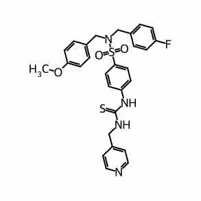 COc1ccc(CN(Cc2ccc(F)cc2)S(=O)(=O)c2ccc(NC(=S)NCc3ccncc3)cc2)cc1